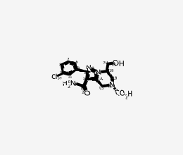 NC(=O)c1c(-c2cccc(Cl)c2)nn2c1CN(C(=O)O)CC2CO